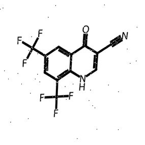 N#Cc1c[nH]c2c(C(F)(F)F)cc(C(F)(F)F)cc2c1=O